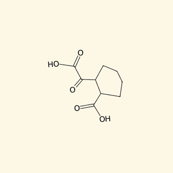 O=C(O)C(=O)C1CCCCC1C(=O)O